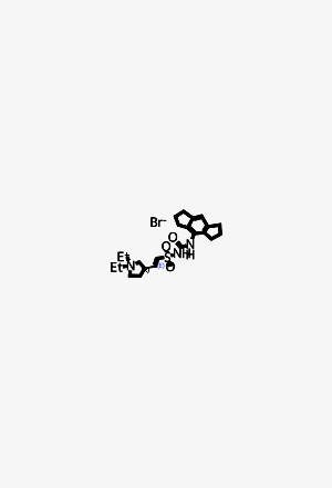 CC[N+]1(CC)CC[C@H](/C=C/S(=O)(=O)NC(=O)Nc2c3c(cc4c2CCC4)CCC3)C1.[Br-]